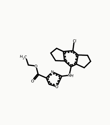 CCOC(=O)c1coc(Nc2c3c(c(Cl)c4c2CCC4)CCC3)n1